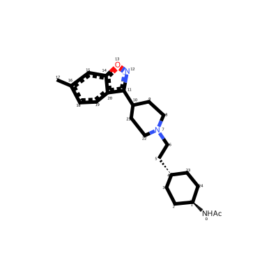 CC(=O)N[C@H]1CC[C@H](CCN2CCC(c3noc4cc(C)ccc34)CC2)CC1